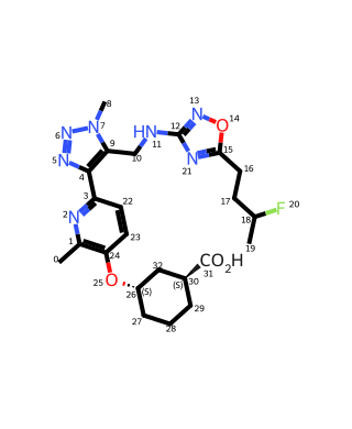 Cc1nc(-c2nnn(C)c2CNc2noc(CCC(C)F)n2)ccc1O[C@H]1CCC[C@H](C(=O)O)C1